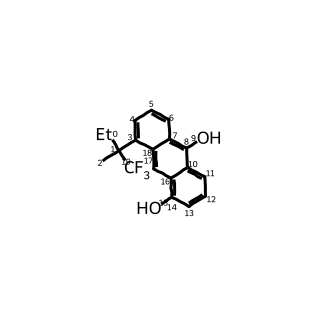 CCC(C)(c1cccc2c(O)c3cccc(O)c3cc12)C(F)(F)F